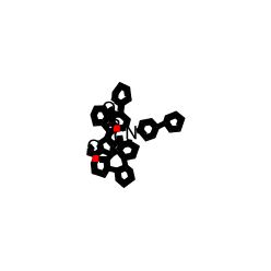 c1ccc(-c2ccc(N(c3ccc4c(c3)C3(c5ccccc5-c5ccccc5-4)c4ccccc4-c4c3ccc3sc5ccccc5c43)c3ccc4oc5ccccc5c4c3)cc2)cc1